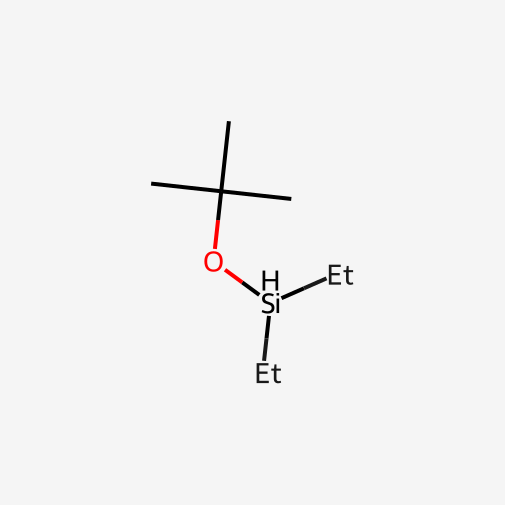 CC[SiH](CC)OC(C)(C)C